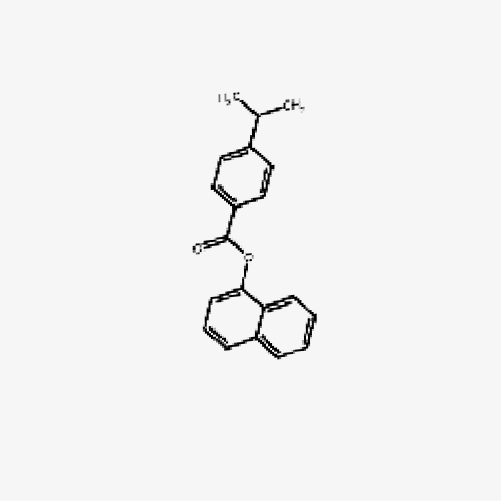 CC(C)c1ccc(C(=O)Oc2cccc3ccccc23)cc1